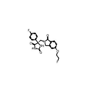 O=C1NC(=O)[C@](CN2Cc3cc(OCCF)ccc3C2=O)(c2ccc(F)cc2)N1